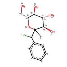 CC1(C(F)c2ccccc2)O[C@H](CO)[C@@H](O)[C@H](O)[C@H]1O